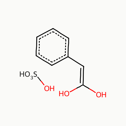 O=S(=O)(O)O.OC(O)=Cc1ccccc1